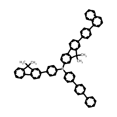 CC1(C)c2ccccc2-c2ccc(-c3ccc(N(c4ccc(-c5ccc(-c6ccccc6)cc5)cc4)c4ccc5c(c4)C(C)(C)c4cc(-c6ccc(-c7cccc8ccccc78)cc6)ccc4-5)cc3)cc21